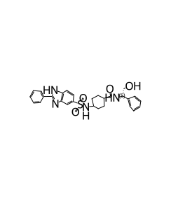 O=C(N[C@H](CO)c1ccccc1)C1CCC(NS(=O)(=O)c2ccc3[nH]c(-c4ccccc4)nc3c2)CC1